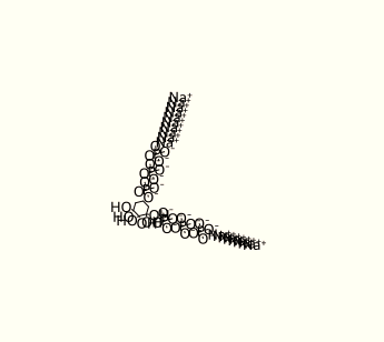 O=P([O-])([O-])[O-].O=P([O-])([O-])[O-].O=P([O-])([O-])[O-].O=P([O-])([O-])[O-].O=P([O-])([O-])[O-].O=P([O-])([O-])[O-].OC1(O)CCCC(O)(O)C1(O)O.[Na+].[Na+].[Na+].[Na+].[Na+].[Na+].[Na+].[Na+].[Na+].[Na+].[Na+].[Na+].[Na+].[Na+].[Na+].[Na+].[Na+].[Na+]